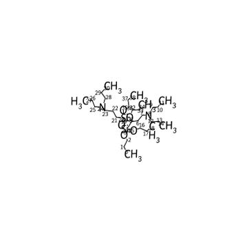 CCCO[Si](CCCN(CCC)CCC)(OCCC)O[Si](CCCN(CCC)CCC)(OCCC)OCCC